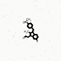 CC1=C(C[C]=O)c2cc(F)ccc2/C1=C/c1ccc([S+](C)[O-])cc1